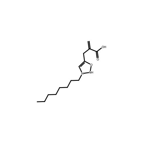 C=C(CC1=CN(CCCCCCCC)NO1)C(=O)O